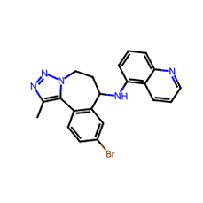 Cc1nnn2c1-c1ccc(Br)cc1C(Nc1cccc3ncccc13)CC2